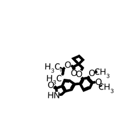 CC[C@@H](C)OC(=O)C1(COc2c(-c3ccc4c(c3)CNC4=O)ccc(OC)c2OC)CCC1